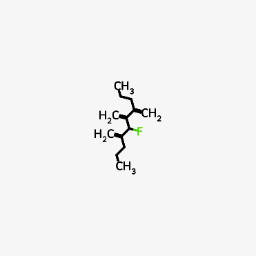 C=C(CCC)C(=C)C(F)C(=C)CCC